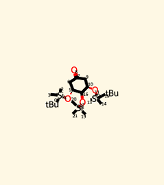 CC(C)(C)[Si](C)(C)O[C@@H]1CC(=O)C[C@@H](O[Si](C)(C)C(C)(C)C)C1O[Si](C)(C)C